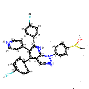 C[S+]([O-])c1ccc(-n2ncc3c(-c4ccc(F)cc4)c(-c4ccncc4)c(-c4ccc(F)cc4)nc32)cc1